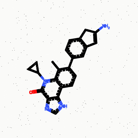 Cc1c(-c2ccc3c(c2)C=C(N)C3)ccc2c3[nH]cnc3c(=O)n(C3CC3)c12